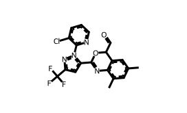 Cc1cc(C)c2c(c1)C(C=O)OC(c1cc(C(F)(F)F)nn1-c1ncccc1Cl)=N2